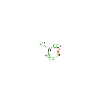 ClC(Cl)Cl.O=PCl